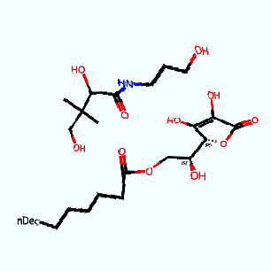 CC(C)(CO)C(O)C(=O)NCCCO.CCCCCCCCCCCCCCCC(=O)OC[C@H](O)[C@H]1OC(=O)C(O)=C1O